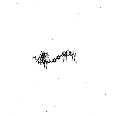 N=C(NCCCCc1ccc(-c2ccc(CCC(=O)N[C@H](CCCCN)C(=O)O)cc2)cc1)NC(=O)c1nc(Cl)c(N)nc1N